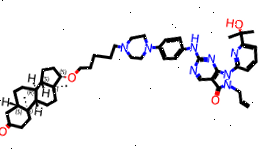 C=CCn1c(=O)c2cnc(Nc3ccc(N4CCN(CCCCCO[C@H]5CC[C@H]6[C@@H]7CC[C@H]8CC(=O)CC[C@]8(C)[C@H]7CC[C@]56C)CC4)cc3)nc2n1-c1cccc(C(C)(C)O)n1